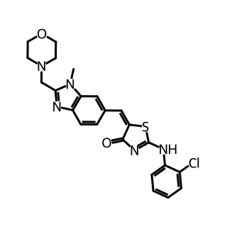 Cn1c(CN2CCOCC2)nc2ccc(C=C3SC(Nc4ccccc4Cl)=NC3=O)cc21